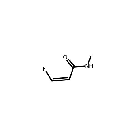 CNC(=O)/C=C\F